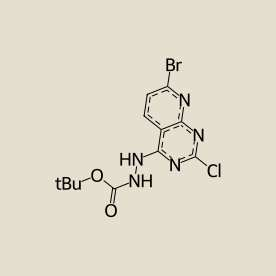 CC(C)(C)OC(=O)NNc1nc(Cl)nc2nc(Br)ccc12